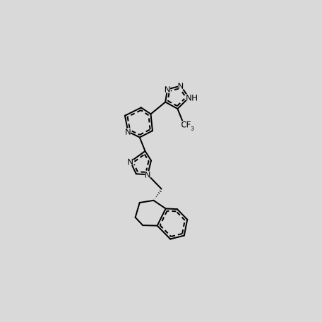 FC(F)(F)c1[nH]nnc1-c1ccnc(-c2cn(C[C@H]3CCCc4ccccc43)cn2)c1